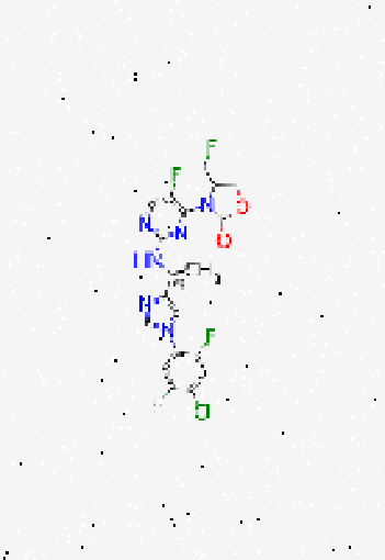 C[C@H](Nc1ncc(F)c(N2C(=O)OCC2CF)n1)c1cn(-c2cc(F)c(Cl)cc2F)cn1